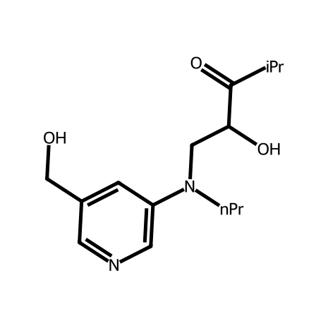 [CH2]CCN(CC(O)C(=O)C(C)C)c1cncc(CO)c1